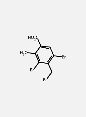 Cc1c(C(=O)O)cc(Br)c(CBr)c1Br